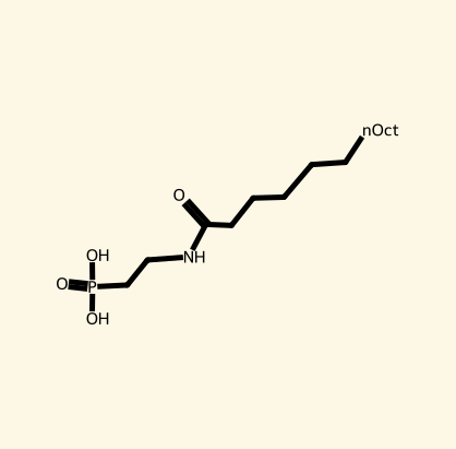 CCCCCCCCCCCCCC(=O)NCCP(=O)(O)O